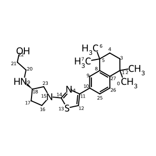 CC1(C)CCC(C)(C)c2cc(-c3csc(N4CC[C@@H](NCCO)C4)n3)ccc21